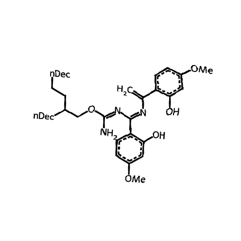 C=C(/N=C(\N=C(/N)OCC(CCCCCCCCCC)CCCCCCCCCCCC)c1ccc(OC)cc1O)c1ccc(OC)cc1O